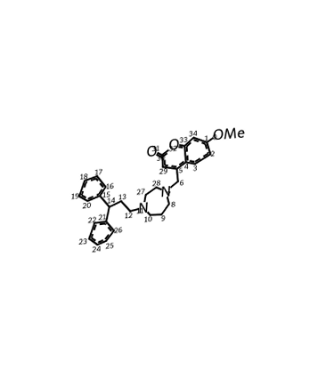 COc1ccc2c(CN3CCCN(CCC(c4ccccc4)c4ccccc4)CC3)cc(=O)oc2c1